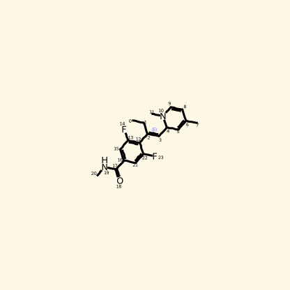 CC/C(=C\C1C=C(C)C=CN1C)c1c(F)cc(C(=O)NC)cc1F